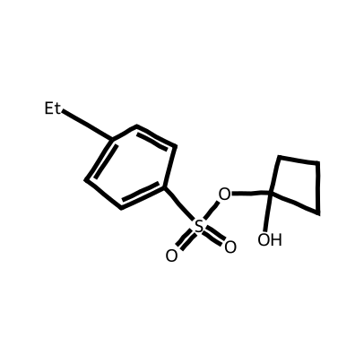 CCc1ccc(S(=O)(=O)OC2(O)CCC2)cc1